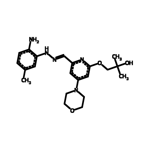 Cc1ccc(N)c(NN=Cc2cc(N3CCOCC3)cc(OCC(C)(C)O)n2)c1